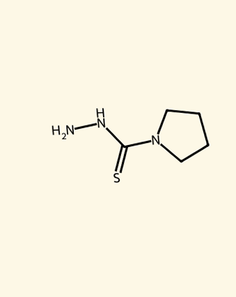 NNC(=S)N1CCCC1